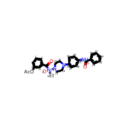 CC[N+]([O-])(C(=O)c1cccc(OC(C)=O)c1)N1CCN(c2ccc(NC(=O)c3ccccc3)cc2)CC1